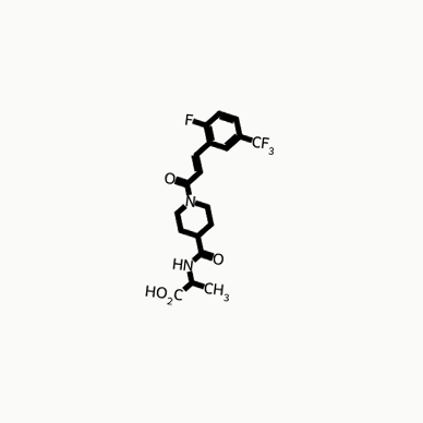 CC(NC(=O)C1CCN(C(=O)C=Cc2cc(C(F)(F)F)ccc2F)CC1)C(=O)O